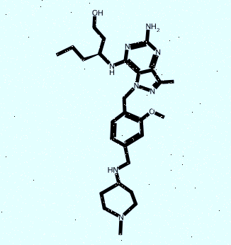 CCC[C@@H](CCO)Nc1nc(N)nc2c(C)nn(Cc3ccc(CNC4CCN(C)CC4)cc3OC)c12